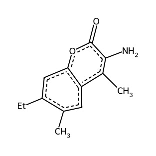 CCc1cc2oc(=O)c(N)c(C)c2cc1C